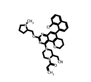 C=CC(=O)N1CCN(c2nc(OCC3CCCN3C)nc3cc(-c4cccc5cccc(Cl)c45)c4c(c23)OCCC4)CC1CC#N